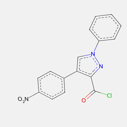 O=C(Cl)c1nn(-c2ccccc2)cc1-c1ccc([N+](=O)[O-])cc1